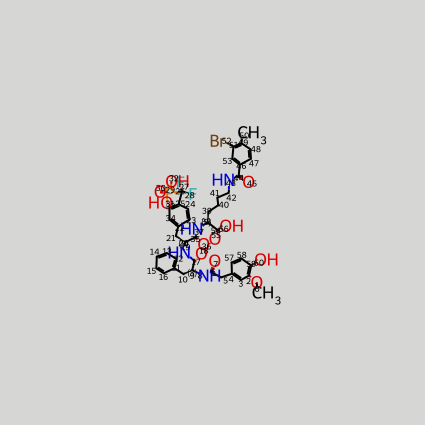 COc1cc(CC(=O)N[C@@H](Cc2ccccc2)C(=O)N[C@@H](Cc2ccc(C(F)(F)P(=O)(O)O)cc2)C(=O)N[C@@H](CCCCNC(=O)c2ccc(C)c(Br)c2)C(=O)O)ccc1O